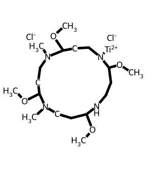 COC1CCN(C)C(OC)CCN(C)C(OC)CC[N]([Ti+2])C(OC)CCN1.[Cl-].[Cl-]